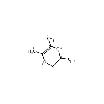 CC1=C(C)OC(C)CO1